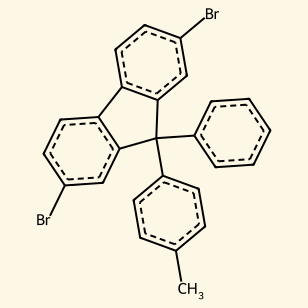 Cc1ccc(C2(c3ccccc3)c3cc(Br)ccc3-c3ccc(Br)cc32)cc1